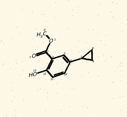 COC(=O)c1cc(C2CC2)ccc1O